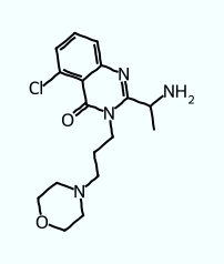 CC(N)c1nc2cccc(Cl)c2c(=O)n1CCCN1CCOCC1